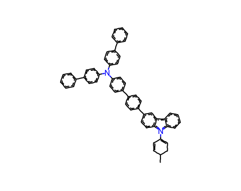 CC1C=CC(n2c3ccccc3c3cc(-c4ccc(-c5ccc(N(c6ccc(-c7ccccc7)cc6)c6ccc(-c7ccccc7)cc6)cc5)cc4)ccc32)=CC1